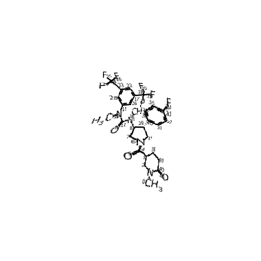 CN1CC(C(=O)N2C[C@@H](N(C)C(=O)N(C)c3cc(C(F)(F)F)cc(C(F)(F)F)c3)[C@H](c3ccc(F)cc3)C2)CCC1=O